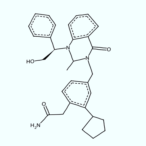 CC1N(Cc2ccc(CC(N)=O)c(C3CCCC3)c2)C(=O)c2ccccc2N1[C@@H](CO)c1ccccc1